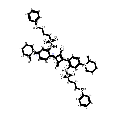 CC1CCCCN1c1ccc(C2=C(O)/C(=C3C=C/C(=[N+]4/CCCCC4C)C=C/3NS(=O)(=O)CCCSc3ccccc3)C2=O)c(NS(=O)(=O)CCCSc2ccccc2)c1